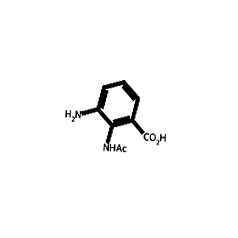 CC(=O)Nc1c(N)cccc1C(=O)O